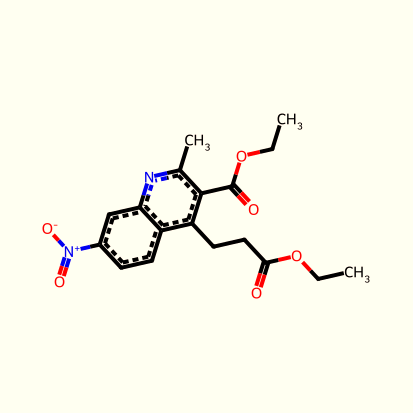 CCOC(=O)CCc1c(C(=O)OCC)c(C)nc2cc([N+](=O)[O-])ccc12